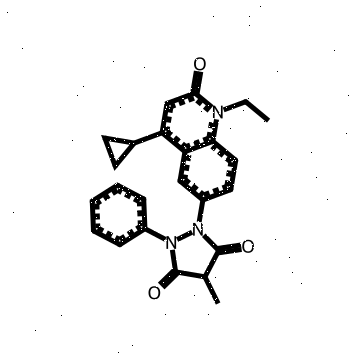 CCn1c(=O)cc(C2CC2)c2cc(N3C(=O)C(C)C(=O)N3c3ccccc3)ccc21